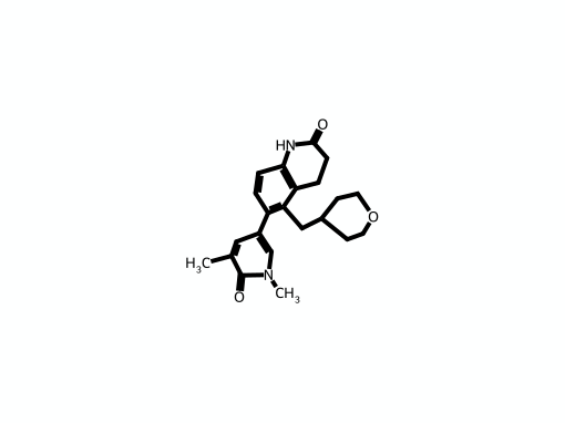 Cc1cc(-c2ccc3c(c2CC2CCOCC2)CCC(=O)N3)cn(C)c1=O